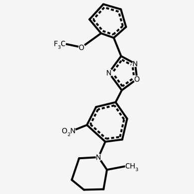 CC1CCCCN1c1ccc(-c2nc(-c3ccccc3OC(F)(F)F)no2)cc1[N+](=O)[O-]